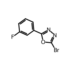 Fc1cccc(-c2nnc(Br)o2)c1